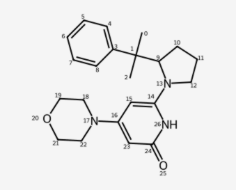 CC(C)(c1ccccc1)C1CCCN1c1cc(N2CCOCC2)cc(=O)[nH]1